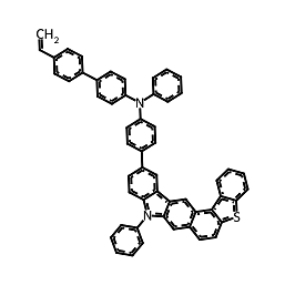 C=Cc1ccc(-c2ccc(N(c3ccccc3)c3ccc(-c4ccc5c(c4)c4cc6c(ccc7sc8ccccc8c76)cc4n5-c4ccccc4)cc3)cc2)cc1